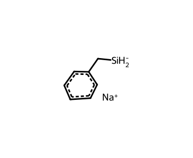 [Na+].[SiH2-]Cc1ccccc1